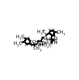 Cc1ccc(CC(C)(C)NCC(O)CO[C@H](C)c2ccc(C)c3c2[C@@H]2[C@H](O3)[C@H]2C(=O)O)cc1C